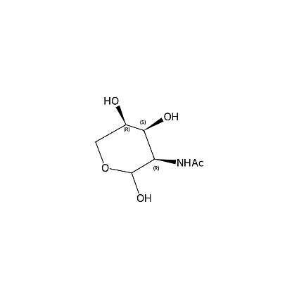 CC(=O)N[C@H]1C(O)OC[C@@H](O)[C@H]1O